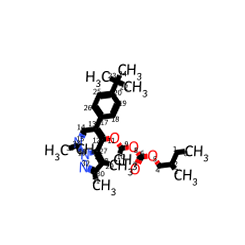 CCC(C)COC(=O)OC(C)O/C(=C(/C=N\C)c1ccc(C(C)(C)C)cc1)c1c(C)c(C)nn1CC